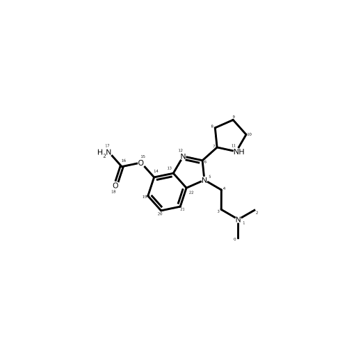 CN(C)CCn1c(C2CCCN2)nc2c(OC(N)=O)cccc21